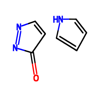 O=C1C=CN=N1.c1cc[nH]c1